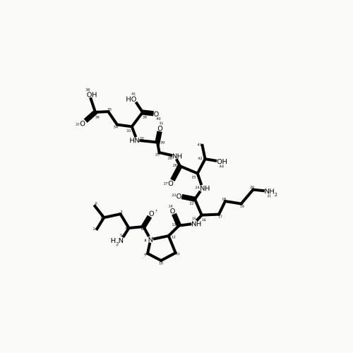 CC(C)CC(N)C(=O)N1CCCC1C(=O)NC(CCCCN)C(=O)NC(C(=O)NCC(=O)NC(CCC(=O)O)C(=O)O)C(C)O